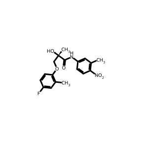 Cc1cc(F)ccc1OC[C@](C)(O)C(=O)Nc1ccc([N+](=O)[O-])c(C)c1